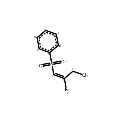 O=S(=O)(/C=C(/Br)CCl)c1ccccc1